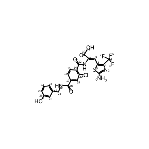 Nc1nc(C(F)(F)F)c(C=C(NC(=O)c2ccc(C(=O)NCc3cccc(O)c3)cc2Cl)C(=O)O)s1